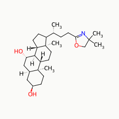 C[C@H](CCC1=NC(C)(C)CO1)C1CC[C@H]2[C@@H]3[C@@H](O)C[C@@H]4C[C@H](O)CC[C@]4(C)[C@H]3CC[C@]12C